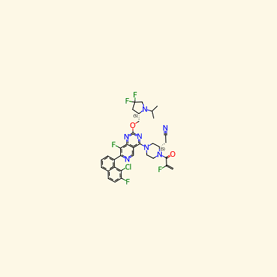 C=C(F)C(=O)N1CCN(c2nc(OC[C@@H]3CC(F)(F)CN3C(C)C)nc3c(F)c(-c4cccc5ccc(F)c(Cl)c45)ncc23)C[C@@H]1CC#N